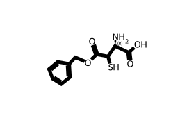 N[C@H](C(=O)O)C(S)C(=O)OCc1ccccc1